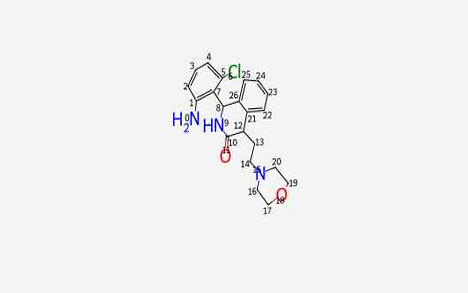 Nc1cccc(Cl)c1C1NC(=O)C(CCN2CCOCC2)c2ccccc21